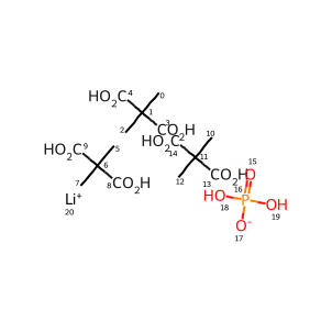 CC(C)(C(=O)O)C(=O)O.CC(C)(C(=O)O)C(=O)O.CC(C)(C(=O)O)C(=O)O.O=P([O-])(O)O.[Li+]